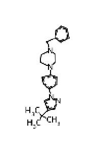 CC(C)(C)c1cnn(-c2ccc(N3CCN(Cc4ccccc4)CC3)cc2)c1